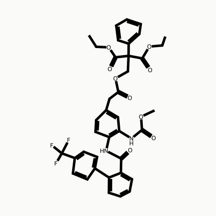 CCOC(=O)C(COC(=O)Cc1ccc(NC(=O)c2ccccc2-c2ccc(C(F)(F)F)cc2)c(NC(=O)OC)c1)(C(=O)OCC)c1ccccc1